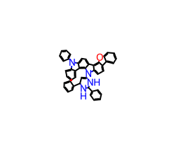 C1=C(n2c3ccc4c5ccccc5oc4c3c3ccc4c(c5ccccc5n4-c4ccccc4)c32)NC(c2ccccc2)NC1c1ccccc1